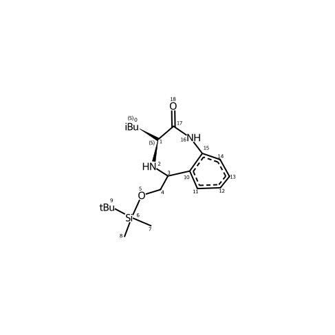 CC[C@H](C)[C@@H]1NC(CO[Si](C)(C)C(C)(C)C)c2ccccc2NC1=O